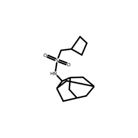 O=S(=O)(CC1CCC1)NC1C2CC3CC(C2)CC1C3